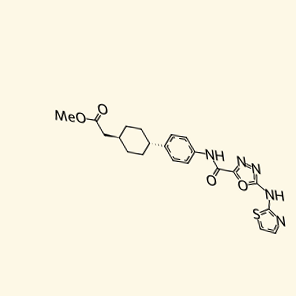 COC(=O)C[C@H]1CC[C@H](c2ccc(NC(=O)c3nnc(Nc4nccs4)o3)cc2)CC1